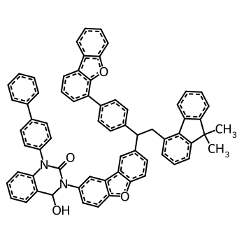 CC1(C)c2ccccc2-c2c(CC(c3ccc(-c4cccc5c4oc4ccccc45)cc3)c3ccc4oc5ccc(N6C(=O)N(c7ccc(-c8ccccc8)cc7)c7ccccc7C6O)cc5c4c3)cccc21